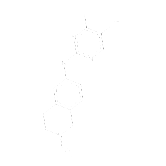 O=C(O)N1CCc2cc(Nc3ncc(C(F)(F)F)c(Cl)n3)ccc2C1